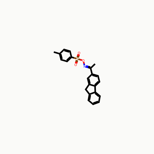 CC(=NOS(=O)(=O)c1ccc(C)cc1)c1ccc2c(c1)Cc1ccccc1-2